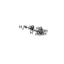 CC(=O)[C@@H](CCCCN)NC(=O)CCCCOC1OC(CO)C(O)C(O)C1O